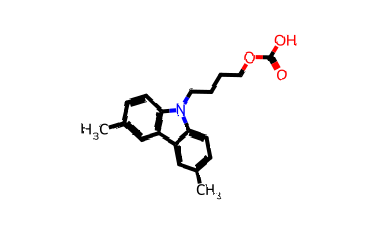 Cc1ccc2c(c1)c1cc(C)ccc1n2CCCCOC(=O)O